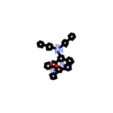 c1ccc(-c2ccc(-c3nc(-c4ccc(-c5ccccc5)cc4)nc(-c4cc(-c5ccccc5)c(-n5c6ccccc6c6cc7c8ccccc8n(-c8ccccc8)c7cc65)c(-c5ccccc5)c4)n3)cc2)cc1